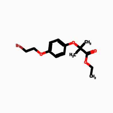 CCOC(=O)C(C)(C)Oc1ccc(OCCBr)cc1